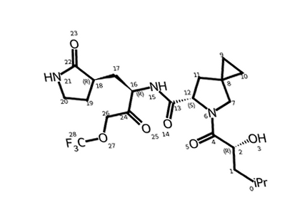 CC(C)C[C@@H](O)C(=O)N1CC2(CC2)C[C@H]1C(=O)N[C@H](C[C@H]1CCNC1=O)C(=O)COC(F)(F)F